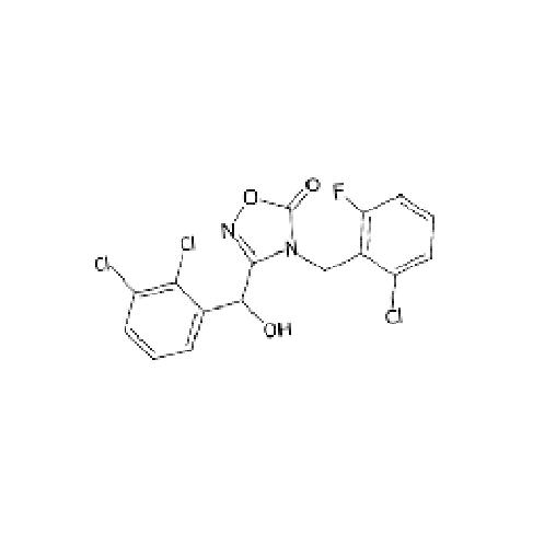 O=c1onc(C(O)c2cccc(Cl)c2Cl)n1Cc1c(F)cccc1Cl